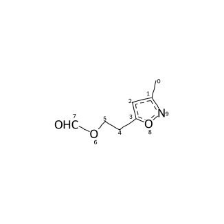 Cc1cc(CCOC=O)on1